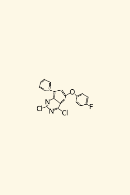 Fc1ccc(Oc2cc(-c3ccccc3)c3nc(Cl)nc(Cl)c3c2)cc1